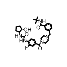 CC(C)(C)NC(=O)c1cccc(CN2CCN(C(=O)c3ccc(NC(=O)N[C@H]4CCC[C@@H]4O)c(F)c3)CC2)c1